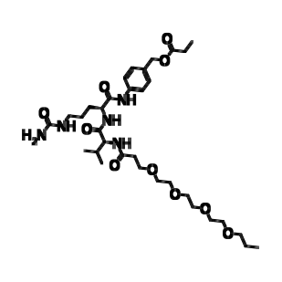 CCCOCCOCCOCCOCCC(=O)N[C@H](C(=O)N[C@@H](CCCNC(N)=O)C(=O)Nc1ccc(COC(=O)CC)cc1)C(C)C